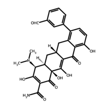 CN(C)[C@@H]1C(O)=C(C(N)=O)C(=O)[C@@]2(O)C(O)=C3C(=O)c4c(O)ccc(-c5cccc(C=O)c5)c4C[C@H]3C[C@H]12